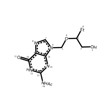 CCC(CO)OCn1cnc2c(=O)[nH]c(NC(C)=O)nc21